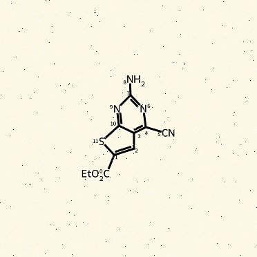 CCOC(=O)c1cc2c(C#N)nc(N)nc2s1